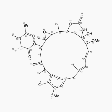 COc1cc2cc(c1Cl)N(C)C(=O)CC(OC(=O)[C@H](C)N(C)C(=O)C(C)C)C1(C)OC1C(C)C1CC(O)(NC(=O)O1)C(OC)/C=C/C=C(\C)C2